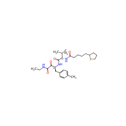 CCNC(=O)C(=O)[C@H](Cc1ccc(C)cc1)NC(=O)[C@@H](NC(=O)CCCCC1CCCS1)C(C)C